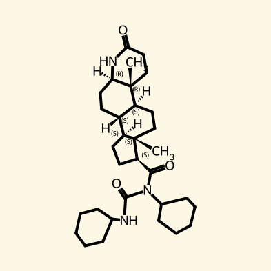 C[C@]12CCC(=O)N[C@@H]1CC[C@@H]1[C@@H]2CC[C@]2(C)[C@@H](C(=O)N(C(=O)NC3CCCCC3)C3CCCCC3)CC[C@@H]12